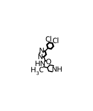 CC(NC(=O)c1cc(-c2ccc(Cl)c(Cl)c2)ncn1)C1CCNCC1